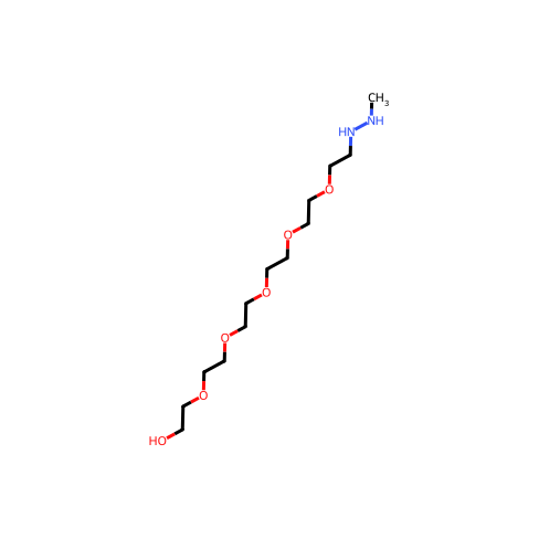 CNNCCOCCOCCOCCOCCOCCO